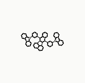 c1cc(-c2c3c(c(-c4cccc(-n5c6ccccc6c6ccccc65)c4)c4ccccc24)-c2cccc4cccc-3c24)cc(-n2c3ccccc3c3ccccc32)c1